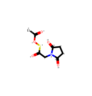 CCC(=O)OSC(=O)CN1C(=O)CCC1=O